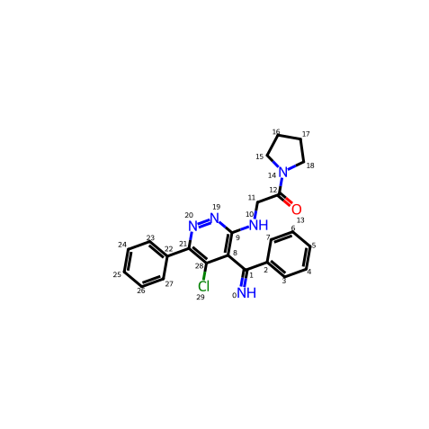 N=C(c1ccccc1)c1c(NCC(=O)N2CCCC2)nnc(-c2ccccc2)c1Cl